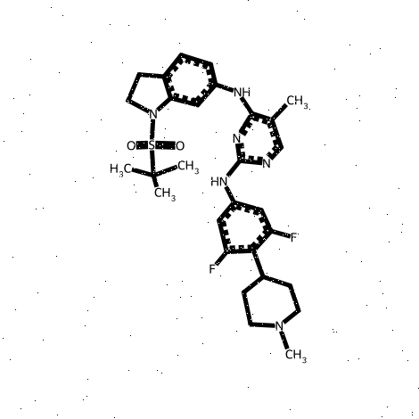 Cc1cnc(Nc2cc(F)c(C3CCN(C)CC3)c(F)c2)nc1Nc1ccc2c(c1)N(S(=O)(=O)C(C)(C)C)CC2